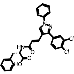 O=C(C=Cc1cn(-c2ccccc2)nc1-c1ccc(Cl)c(Cl)c1)N[C@@H](Cc1ccccc1)C(=O)O